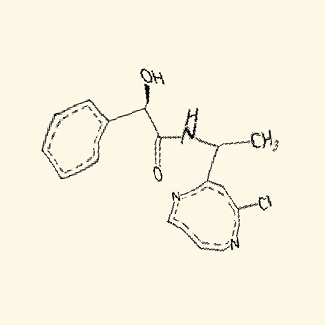 CC(NC(=O)[C@H](O)c1ccccc1)c1nccnc1Cl